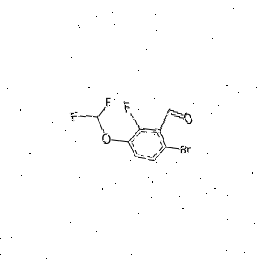 O=Cc1c(Br)ccc(OC(F)F)c1F